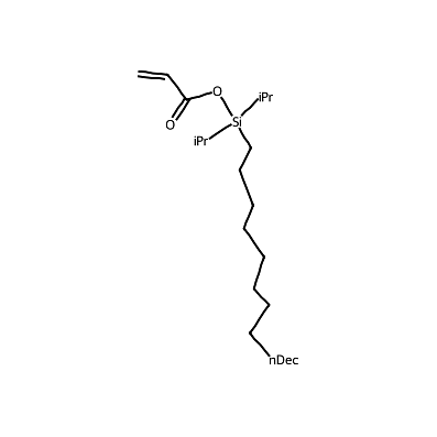 C=CC(=O)O[Si](CCCCCCCCCCCCCCCCCC)(C(C)C)C(C)C